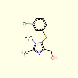 Cc1nc(CO)c(Sc2cccc(Cl)c2)n1C